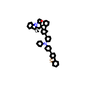 c1ccc(N(c2ccc(-c3ccc4c(c3)sc3ccccc34)cc2)c2cccc(-c3ccc4c(c3)-c3ccccc3C43c4ccccc4-n4c5ccccc5c5cccc3c54)c2)cc1